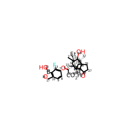 CC[C@]1(C)C[C@@H](C(Oc2ccc3c(c2F)B(O)OC3)C(=O)O)[C@@]2(C)[C@H](C)CC[C@]3(CCC(=O)[C@H]32)[C@@H](C)[C@@H]1O